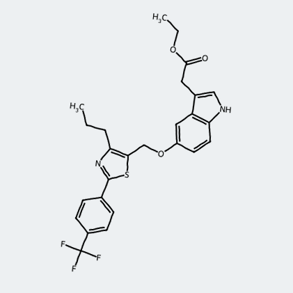 CCCc1nc(-c2ccc(C(F)(F)F)cc2)sc1COc1ccc2[nH]cc(CC(=O)OCC)c2c1